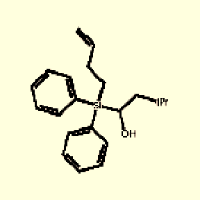 C=CCC[Si](c1ccccc1)(c1ccccc1)C(O)CC(C)C